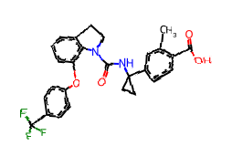 Cc1cc(C2(NC(=O)N3CCc4cccc(Oc5ccc(C(F)(F)F)cc5)c43)CC2)ccc1C(=O)O